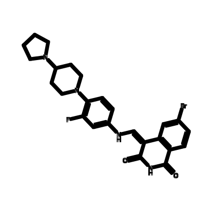 O=C1NC(=O)c2ccc(Br)cc2C1=CNc1ccc(N2CCC(N3CCCC3)CC2)c(F)c1